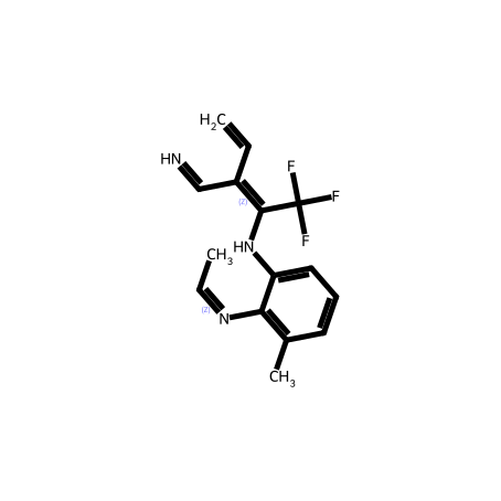 C=C/C(C=N)=C(/Nc1cccc(C)c1/N=C\C)C(F)(F)F